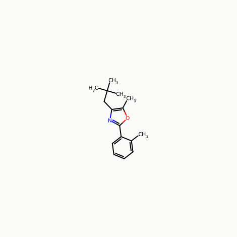 Cc1ccccc1-c1nc(CC(C)(C)C)c(C)o1